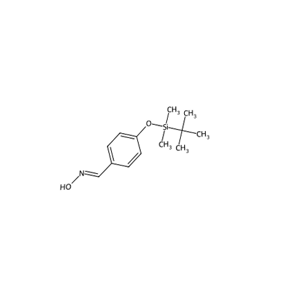 CC(C)(C)[Si](C)(C)Oc1ccc(C=NO)cc1